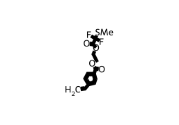 C=Cc1ccc(C(=O)OCCOC(=O)C(F)(F)SC)cc1